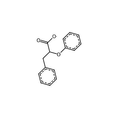 [O]C(=O)C(Cc1ccccc1)Oc1ccccc1